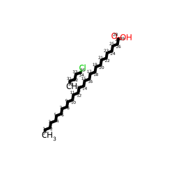 CCCCCCCCCCCCCCCCCCCCCCCCCCCC(=O)O.CCCCCCl